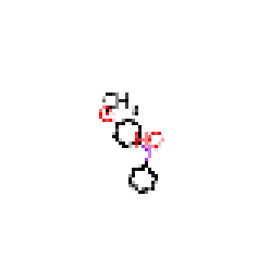 COc1ccc([I+]c2ccccc2)cc1.[OH-]